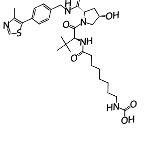 Cc1ncsc1-c1ccc(CNC(=O)[C@@H]2C[C@@H](O)CN2C(=O)[C@@H](NC(=O)CCCCCCCNC(=O)O)C(C)(C)C)cc1